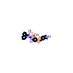 COc1cc(S(=O)(=O)Cc2ccc3c(c2)CNC3)ccc1NC(=O)NC(C)c1cccc2ccccc12